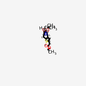 CCOC(=O)Cc1cc2c(s1)CC1CCC2N1C(=O)OC(C)(C)C